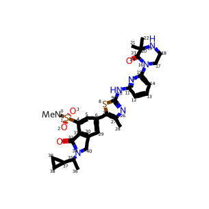 CNS(=O)(=O)c1cc(-c2sc(Nc3cccc(N4CCNC(C)(C)C4=O)n3)nc2C)cc2c1C(=O)N(C(C)C1CC1)C2